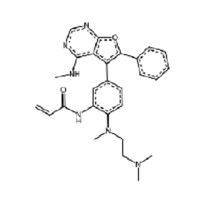 C=CC(=O)Nc1cc(-c2c(-c3ccccc3)oc3ncnc(NC)c23)ccc1N(C)CCN(C)C